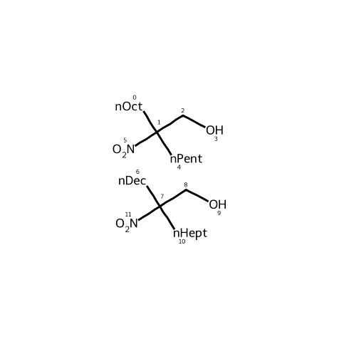 CCCCCCCCC(CO)(CCCCC)[N+](=O)[O-].CCCCCCCCCCC(CO)(CCCCCCC)[N+](=O)[O-]